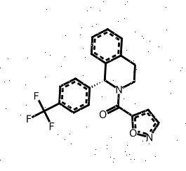 O=C(c1ccno1)N1CCc2ccccc2[C@H]1c1ccc(C(F)(F)F)cc1